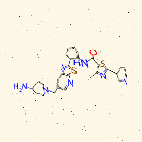 Cc1nc(C2C=NC=CC2)sc1C(=O)Nc1ccccc1-c1nc2cc(CN3CCC(N)CC3)cnc2s1